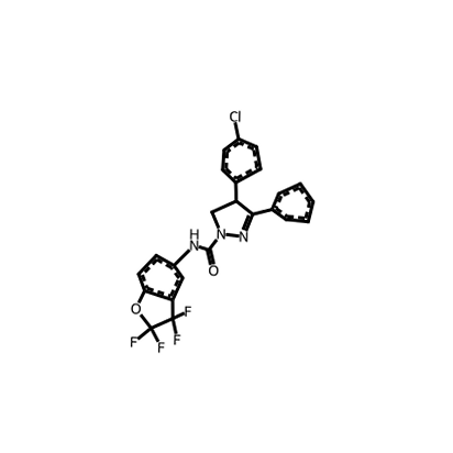 O=C(Nc1ccc2c(c1)C(F)(F)C(F)(F)O2)N1CC(c2ccc(Cl)cc2)C(c2ccccc2)=N1